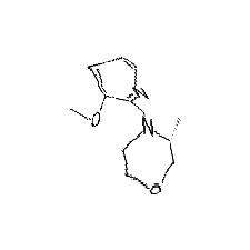 COc1cccnc1N1CCOC[C@H]1C